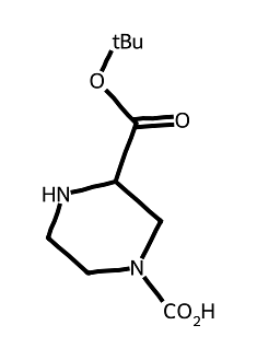 CC(C)(C)OC(=O)C1CN(C(=O)O)CCN1